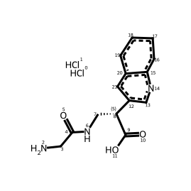 Cl.Cl.NCC(=O)NC[C@@H](C(=O)O)c1cnc2ccccc2c1